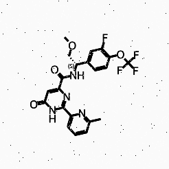 COC[C@@H](NC(=O)c1cc(=O)[nH]c(-c2cccc(C)n2)n1)c1ccc(OC(F)(F)F)c(F)c1